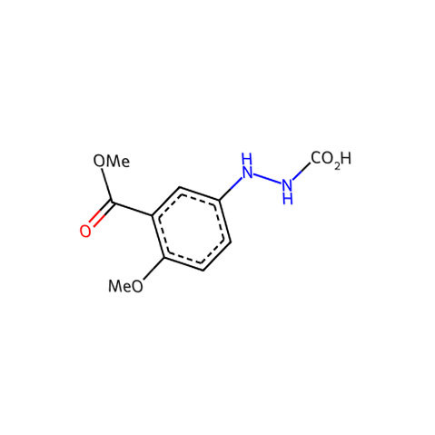 COC(=O)c1cc(NNC(=O)O)ccc1OC